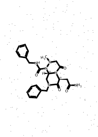 CN1CC(=O)N2[C@@H](CC(N)=O)C(=O)N(Cc3ccccc3)C[C@@H]2N1C(=O)NCc1ccccc1